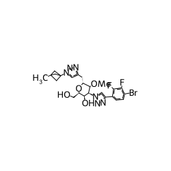 CO[C@@H]1[C@@H](n2cc(-c3ccc(Br)c(F)c3F)nn2)[C@@H](O)[C@@H](CO)O[C@@H]1Cc1cn(C23CC(C)(C2)C3)nn1